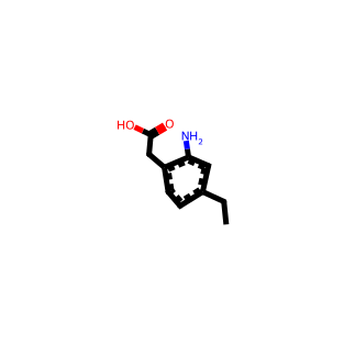 CCc1ccc(CC(=O)O)c(N)c1